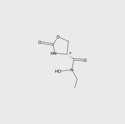 CCN(O)C(=O)[C@H]1COC(=O)N1